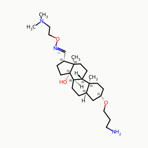 CN(C)CCO/N=C/[C@H]1CC[C@]2(O)[C@@H]3CC[C@@H]4C[C@@H](OCCCN)CC[C@]4(C)[C@H]3CC[C@]12C